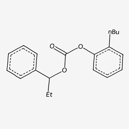 CCCCc1ccccc1OC(=O)OC(CC)c1ccccc1